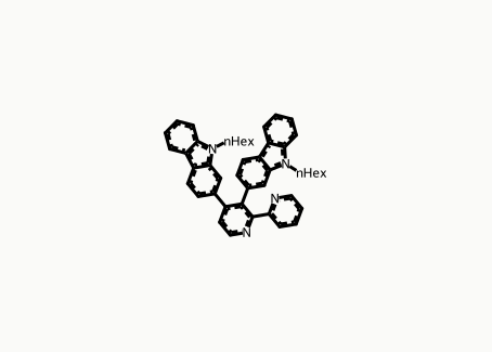 CCCCCCn1c2ccccc2c2ccc(-c3ccnc(-c4ccccn4)c3-c3ccc4c5ccccc5n(CCCCCC)c4c3)cc21